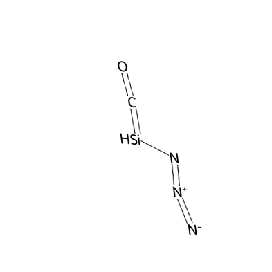 [N-]=[N+]=N[SiH]=C=O